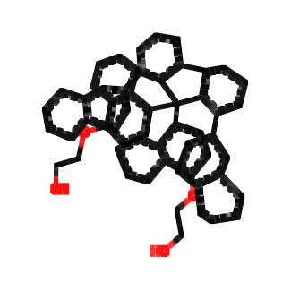 OCCOc1ccc(C2(c3ccc(OCCO)c4ccccc34)c3c(-c4ccc5ccccc5c4)cccc3-c3cccc(-c4ccc5ccccc5c4)c32)c2ccccc12